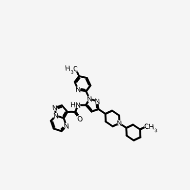 Cc1ccc(-n2nc(C3CCN(C4CCCC(C)C4)CC3)cc2NC(=O)c2cnn3cccnc23)nc1